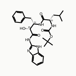 CC(C)C[C@H](NC(=O)OC(C)(C)C)C(=O)N[C@@H](Cc1ccccc1)[C@@H](O)C(=O)Nc1nc2ccccc2[nH]1